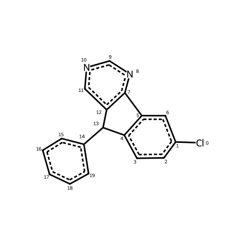 Clc1ccc2c(c1)-c1ncncc1C2c1ccccc1